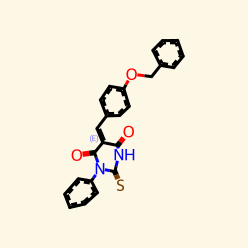 O=C1NC(=S)N(c2ccccc2)C(=O)/C1=C/c1ccc(OCc2ccccc2)cc1